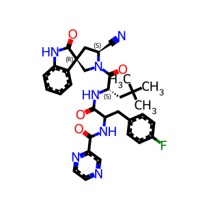 CC(C)(C)C[C@H](NC(=O)C(Cc1ccc(F)cc1)NC(=O)c1cnccn1)C(=O)N1C[C@]2(C[C@H]1C#N)C(=O)Nc1ccccc12